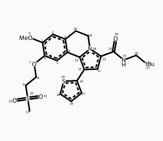 COc1cc2c(cc1OCCS(C)(=O)=O)-c1c(-c3cccs3)cc(C(=O)NCC(C)(C)C)n1CC2